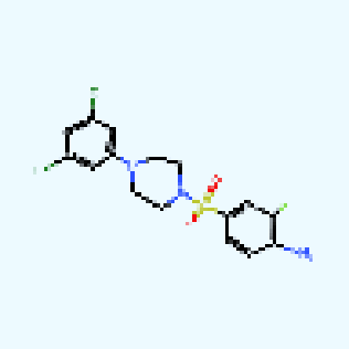 Nc1ccc(S(=O)(=O)N2CCN(c3cc(Cl)cc(Cl)c3)CC2)cc1F